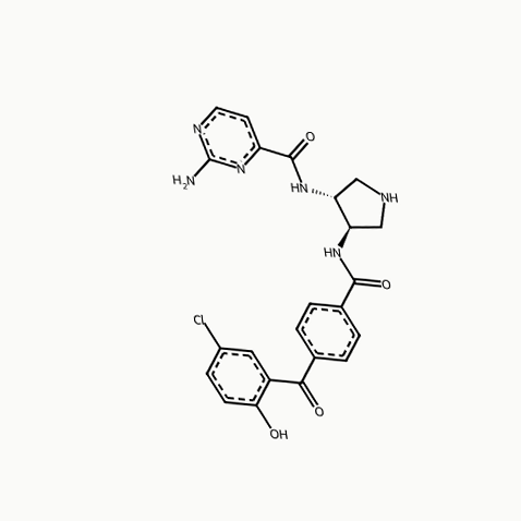 Nc1nccc(C(=O)N[C@@H]2CNC[C@H]2NC(=O)c2ccc(C(=O)c3cc(Cl)ccc3O)cc2)n1